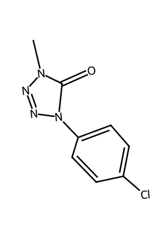 Cn1nnn(-c2ccc(Cl)cc2)c1=O